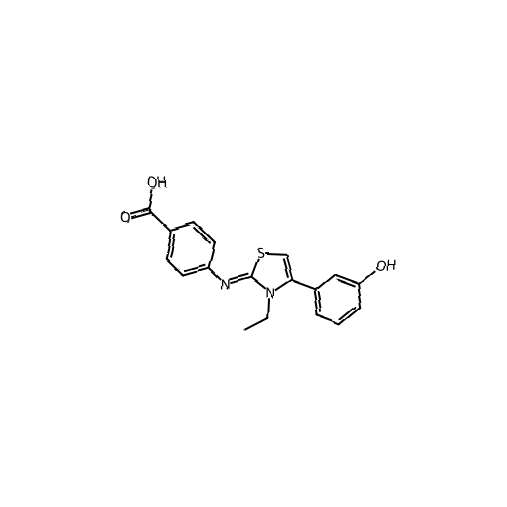 CCn1c(-c2cccc(O)c2)csc1=Nc1ccc(C(=O)O)cc1